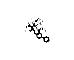 CC(N)c1cc(-c2ccccc2)ccc1CCC(N)C(C(=O)O)C(=O)OC(C)(C)C